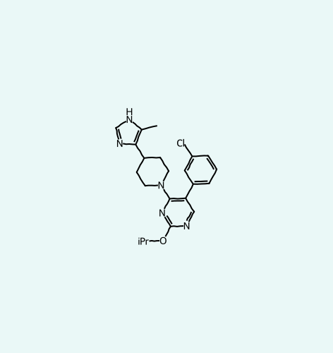 Cc1[nH]cnc1C1CCN(c2nc(OC(C)C)ncc2-c2cccc(Cl)c2)CC1